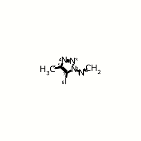 C=Nn1nnc(C)c1I